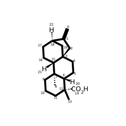 C=C1C[C@@]23CC[C@H]4[C@@](C)(CCC[C@@]4(C)C(=O)O)[C@@H]2CC[C@@H]1C3